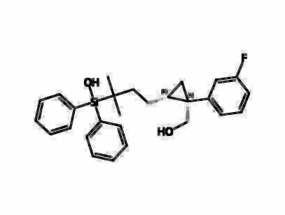 CC(C)(CC[C@@H]1C[C@@]1(CO)c1cccc(F)c1)[Si](O)(c1ccccc1)c1ccccc1